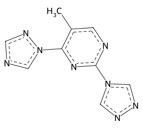 Cc1cnc(-n2cnnc2)nc1-n1cncn1